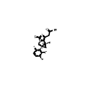 O=C(O)Cc1[nH]c(=S)n2c1[C@@H]1C[C@]1(c1c(F)ccc(Br)c1F)C2